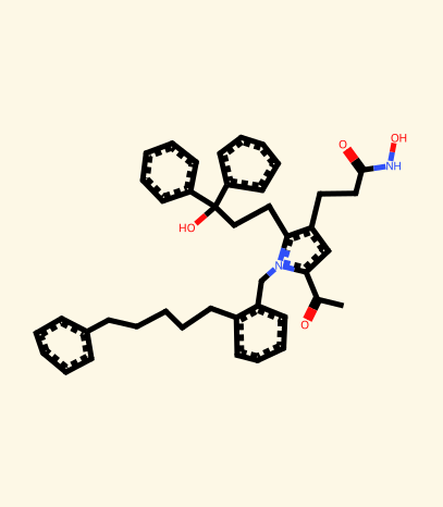 CC(=O)c1cc(CCC(=O)NO)c(CCC(O)(c2ccccc2)c2ccccc2)n1Cc1ccccc1CCCCCc1ccccc1